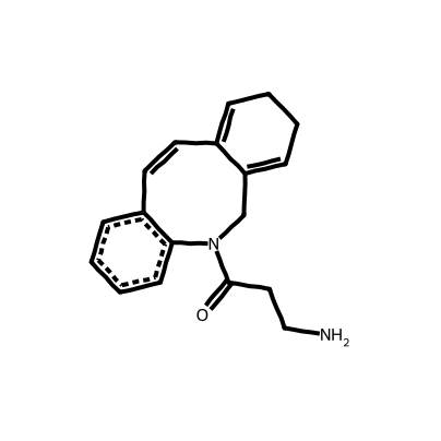 NCCC(=O)N1CC2=CCCC=C2/C=C\c2ccccc21